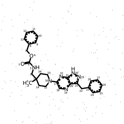 CC1(CNC(=O)OCc2ccccc2)CCN(c2cnc3c(Cc4ccccc4)n[nH]c3n2)CC1